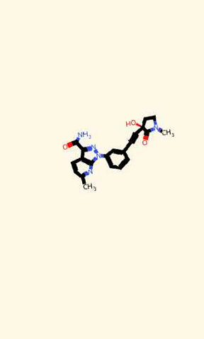 Cc1ccc2c(C(N)=O)nn(-c3cccc(C#C[C@]4(O)CCN(C)C4=O)c3)c2n1